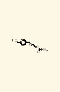 NC(=O)OCCOCc1ccc(CO)nc1